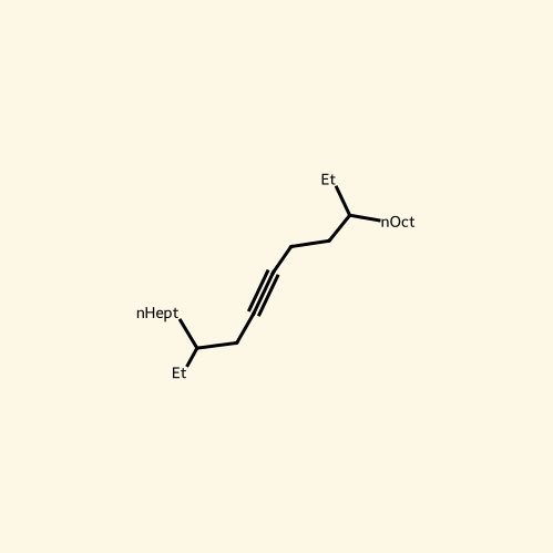 [CH2]CCCCCCCC(CC)CCC#CCC(CC)CCCCCC[CH2]